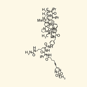 CC[C@H](C)[C@@H]([C@@H](CC(=O)N1CCC[C@H]1[C@H](OC)[C@@H](C)C(=O)N[C@@H](Cc1ccccn1)C(=O)NCc1ccc(NC(=O)[C@H](CCCCNC(N)=O)NC(=O)[C@@H](NC(=O)CCCC#Cc2cnc(S(C)(=O)=O)nc2)C(C)C)cc1)OC)N(C)C(=O)[C@@H](NC(=O)[C@H](C(C)C)N(C)C)C(C)C